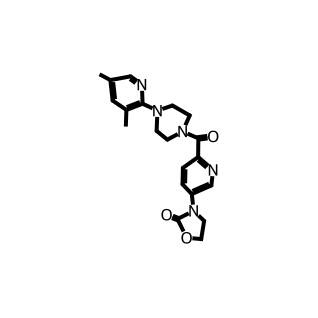 Cc1cnc(N2CCN(C(=O)c3ccc(N4CCOC4=O)cn3)CC2)c(C)c1